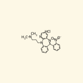 CN(C)CCCN1c2ccccc2C(c2ccccc2[N+](=O)[O-])=Nc2cccnc21.Cl